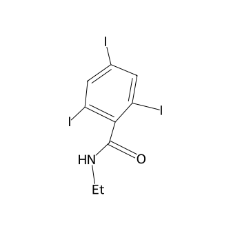 CCNC(=O)c1c(I)cc(I)cc1I